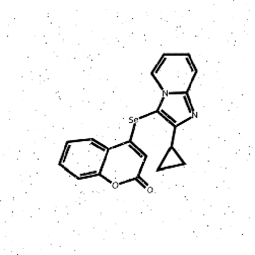 O=c1cc([Se]c2c(C3CC3)nc3ccccn23)c2ccccc2o1